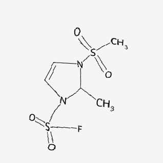 CC1N(S(C)(=O)=O)C=CN1S(=O)(=O)F